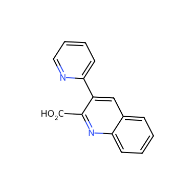 O=C(O)c1nc2ccccc2cc1-c1ccccn1